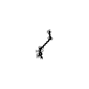 CC(O)(CCCCCCCCCCCS(=O)(=O)CCCCC(F)(F)F)C(=O)Nc1ccc(C#N)c(C(F)(F)F)c1